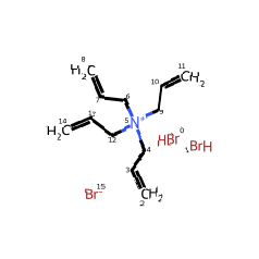 Br.Br.C=CC[N+](CC=C)(CC=C)CC=C.[Br-]